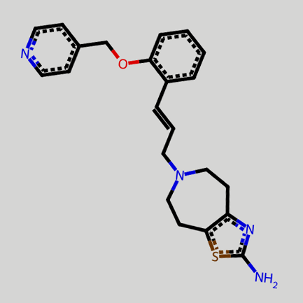 Nc1nc2c(s1)CCN(CC=Cc1ccccc1OCc1ccncc1)CC2